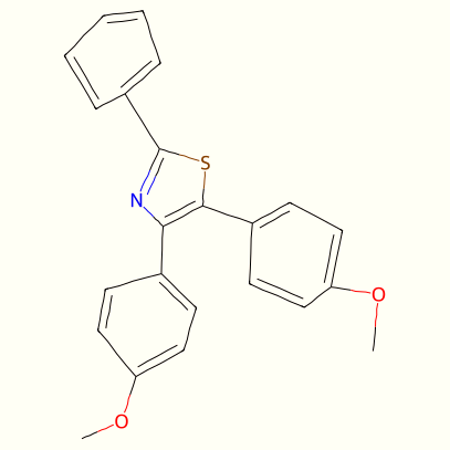 COc1ccc(-c2nc(-c3ccccc3)sc2-c2ccc(OC)cc2)cc1